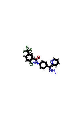 NC(c1ccccn1)C1CCC(NC(=O)c2cc(C(F)(F)F)ccc2Cl)CC1